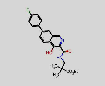 CCOC(=O)C(C)(C)CNC(=O)c1ncc2cc(-c3ccc(F)cc3)ccc2c1O